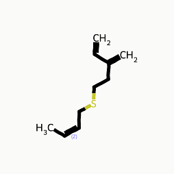 C=CC(=C)CCSC/C=C\C